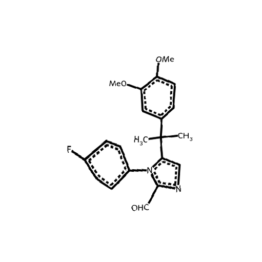 COc1ccc(C(C)(C)c2cnc(C=O)n2-c2ccc(F)cc2)cc1OC